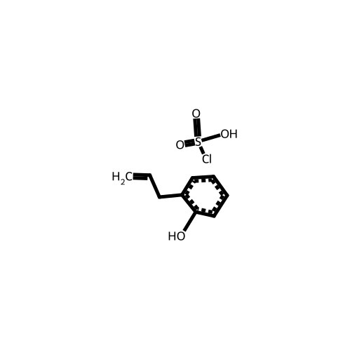 C=CCc1ccccc1O.O=S(=O)(O)Cl